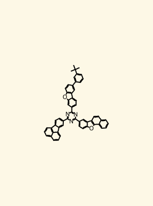 CC(C)(C)c1cccc(-c2ccc3oc4cc(-c5nc(-c6ccc7c(c6)-c6cccc8cccc-7c68)nc(-c6ccc7oc8c9ccccc9ccc8c7c6)n5)ccc4c3c2)c1